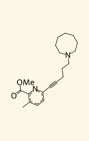 COC(=O)c1nc(C#CCCCN2CCCCCCC2)ccc1C